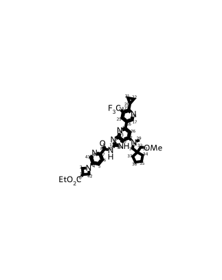 CCOC(=O)C1CN(c2ccc(C(=O)Nc3nc4nc(-c5cnc(C6CC6)c(C(F)(F)F)c5)cc(N(C)CC5(COC)CCCC5)c4[nH]3)nc2)C1